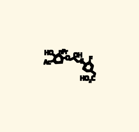 CCCc1c(OCC(O)CSc2ccc(CC(=O)O)cc2F)ccc(C(C)=O)c1O